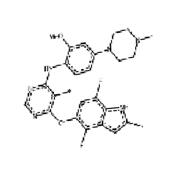 COc1cc(N2CCN(C)CC2)ccc1Nc1ncnc(Oc2cc(F)c3[nH]c(C)cc3c2F)c1F